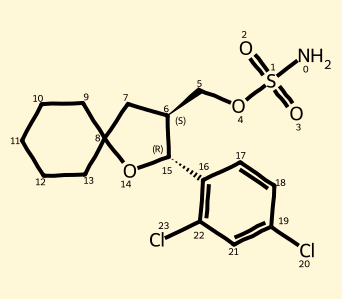 NS(=O)(=O)OC[C@@H]1CC2(CCCCC2)O[C@H]1c1ccc(Cl)cc1Cl